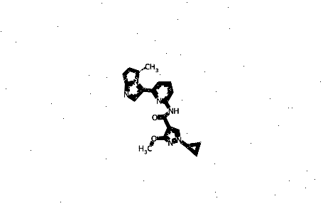 COc1nn(C2CC2)cc1C(=O)Nc1cccc(-c2cnc3n2[C@@H](C)CC3)n1